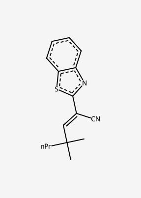 CCCC(C)(C)/C=C(\C#N)c1nc2ccccc2s1